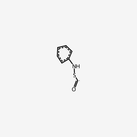 O=[C]SNc1ccccc1